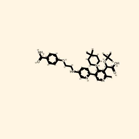 Cc1ncc(-c2ccc(NCCOc3ccc(C(N)=O)cc3)cn2)c(N2CCC(C)(C)CC2)c1C(OC(C)(C)C)C(=O)O